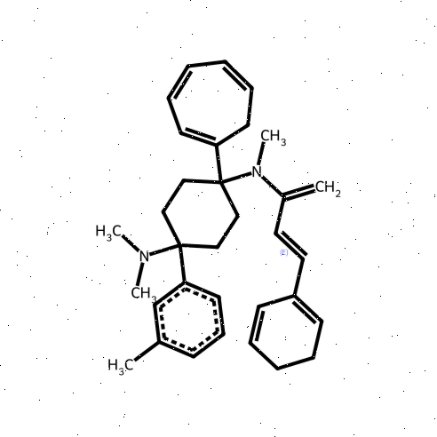 C=C(/C=C/C1=CCCC=C1)N(C)C1(C2=CC=CC=CC2)CCC(c2cccc(C)c2)(N(C)C)CC1